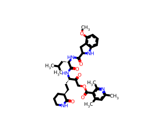 COc1cccc2c1CC(C(=O)N[C@@H](CC(C)C)C(=O)N[C@@H](CC[C@@H]1CCCNC1=O)C(=O)COC(=O)c1c(C)cc(C)nc1C)N2